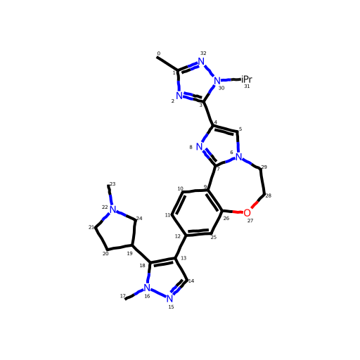 Cc1nc(-c2cn3c(n2)-c2ccc(-c4cnn(C)c4C4CCN(C)C4)cc2OCC3)n(C(C)C)n1